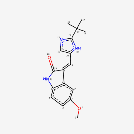 COc1ccc2c(c1)/C(=C/c1cnc(C(C)(C)C)[nH]1)C(=O)N2